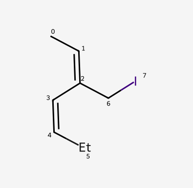 C/C=C(\C=C/CC)CI